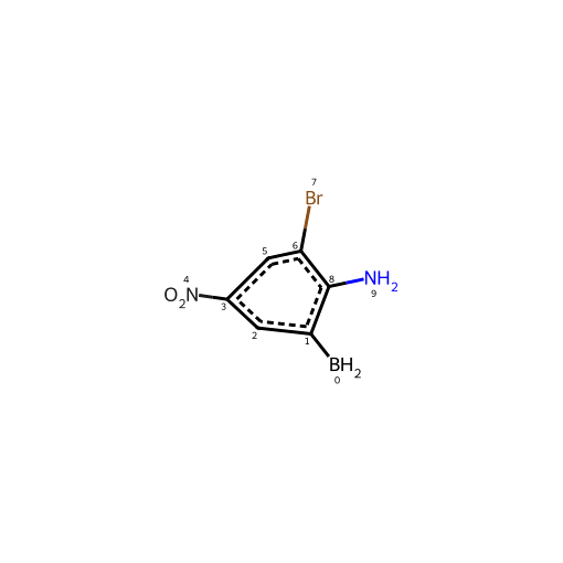 Bc1cc([N+](=O)[O-])cc(Br)c1N